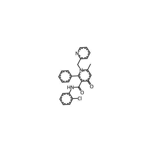 Cc1cc(=O)c(C(=O)Nc2ccccc2Cl)c(-c2ccccc2)n1Cc1ccccn1